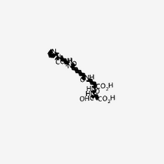 O=CC(CCC(=O)O)NC(=O)NC(CCCCNC(=O)CCCCCCC(=O)NCCCCCN(CC(=O)O)Cc1ccccn1)C(=O)O